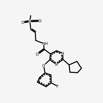 CS(=O)(=O)C=CCNC(=O)c1cnc(C2CCCC2)nc1Oc1cccc(F)c1